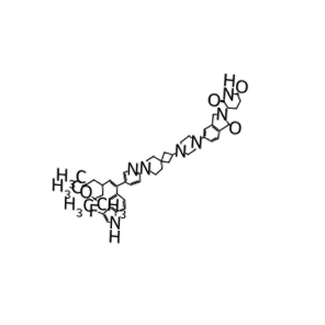 CC1(C)CC(C=C(c2ccc(N3CCC4(CC3)CC(N3CCN(c5ccc6c(c5)CN([C@@H]5CCC(=O)NC5=O)C6=O)CC3)C4)nc2)c2ccc3[nH]cc(F)c3c2)CC(C)(C)O1